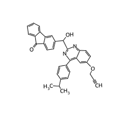 C#CCOc1ccc2nc(C(O)c3ccc4c(c3)-c3ccccc3C4=O)nc(-c3ccc(C(C)C)cc3)c2c1